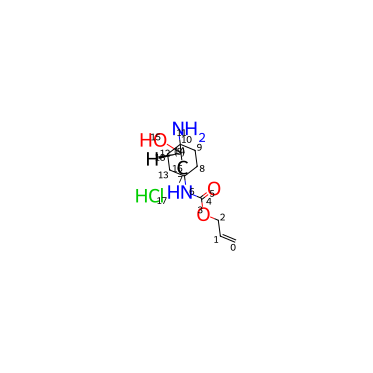 C=CCOC(=O)NC12CCC(N)(CC1)[C@@H](O)C2.Cl